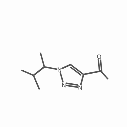 CC(=O)c1cn(C(C)C(C)C)nn1